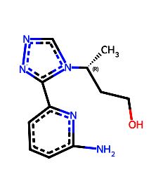 C[C@H](CCO)n1cnnc1-c1cccc(N)n1